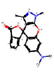 CCN(CC)c1ccc2c(c1)Oc1c(c(C)nn1C)C21OC(=O)c2ccccc21